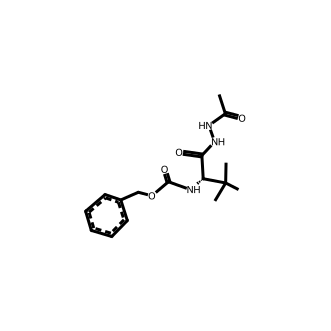 CC(=O)NNC(=O)[C@@H](NC(=O)OCc1ccccc1)C(C)(C)C